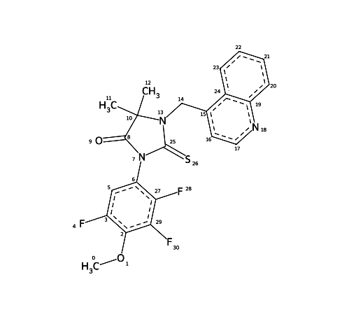 COc1c(F)cc(N2C(=O)C(C)(C)N(Cc3ccnc4ccccc34)C2=S)c(F)c1F